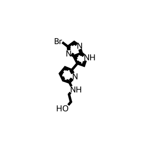 OCCNc1cccc(-c2c[nH]c3ncc(Br)nc23)n1